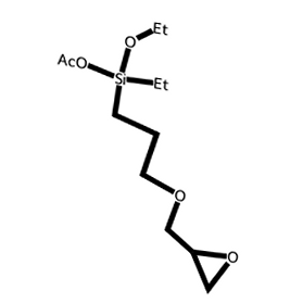 CCO[Si](CC)(CCCOCC1CO1)OC(C)=O